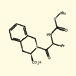 CC(C)C(NC(=O)OC(C)(C)C)C(=O)N1Cc2ccccc2C[C@@H]1C(=O)O